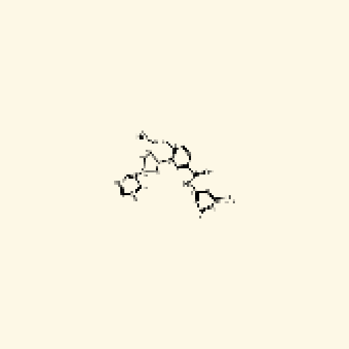 Cc1ccc(C(=O)Nc2cncc(C(F)(F)F)c2)cc1[C@H]1CN(c2cncnc2)C[C@@H]1CO